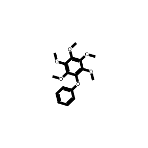 COc1c(OC)c(OC)c(Oc2cc[c]cc2)c(OC)c1OC